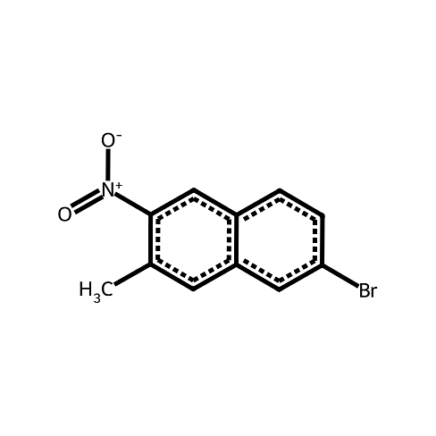 Cc1cc2cc(Br)ccc2cc1[N+](=O)[O-]